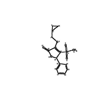 CS(=O)(=O)C1=C(OCC2CC2)C(=O)OC1c1ccccc1